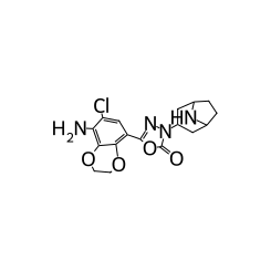 Nc1c(Cl)cc(-c2nn(C3CC4CCC(C3)N4)c(=O)o2)c2c1OCCO2